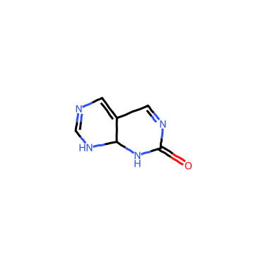 O=C1N=CC2=CN=CNC2N1